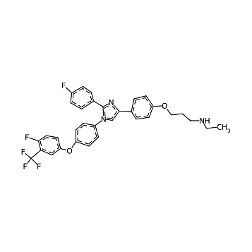 CCNCCCOc1ccc(-c2cn(-c3ccc(Oc4ccc(F)c(C(F)(F)F)c4)cc3)c(-c3ccc(F)cc3)n2)cc1